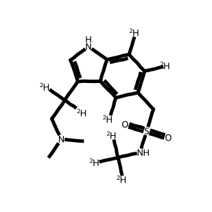 [2H]c1c(CS(=O)(=O)NC([2H])([2H])[2H])c([2H])c2c(C([2H])([2H])CN(C)C)c[nH]c2c1[2H]